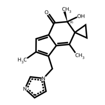 CC1=C(Cn2ccnc2)C2=C(C)C3(CC3)[C@@](C)(O)C(=O)C2=C1